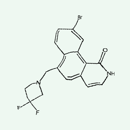 O=c1[nH]ccc2cc(CN3CC(F)(F)C3)c3ccc(Br)cc3c12